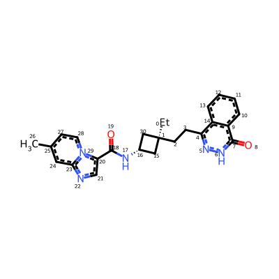 CC[C@]1(CCc2n[nH]c(=O)c3ccccc23)C[C@H](NC(=O)c2cnc3cc(C)ccn23)C1